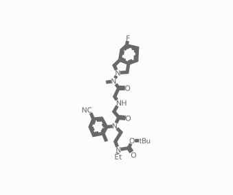 CCN(CCN(C(=O)CNCC(=O)N(C)N1Cc2ccc(F)cc2C1)c1cc(C#N)ccc1C)C(=O)OC(C)(C)C